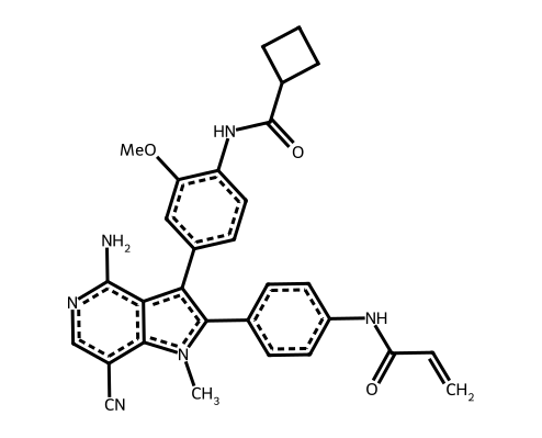 C=CC(=O)Nc1ccc(-c2c(-c3ccc(NC(=O)C4CCC4)c(OC)c3)c3c(N)ncc(C#N)c3n2C)cc1